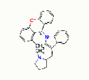 Cc1cccc2c1[C@@H](n1cc(CC3CCCN3C)c3ccccc31)c1ccccc1O2